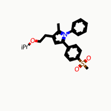 Cc1c(CCOC(C)C)cc(-c2ccc(S(C)(=O)=O)cc2)n1-c1ccccc1